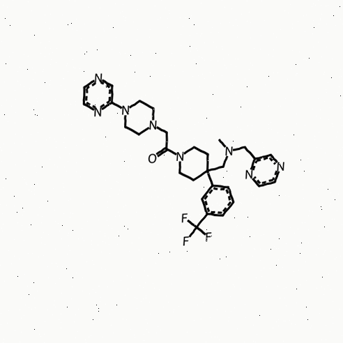 CN(Cc1cnccn1)CC1(c2cccc(C(F)(F)F)c2)CCN(C(=O)CN2CCN(c3cnccn3)CC2)CC1